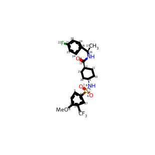 COc1ccc(S(=O)(=O)N[C@H]2CC[C@H](C(=O)N[C@H](C)c3ccc(F)cc3)CC2)cc1C(F)(F)F